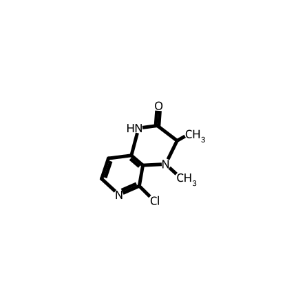 CC1C(=O)Nc2ccnc(Cl)c2N1C